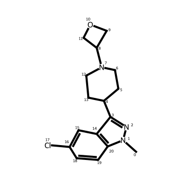 Cn1nc(C2CCN(C3COC3)CC2)c2cc(Cl)ccc21